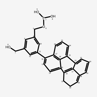 OCc1cc(COP(O)O)cc(-c2ccc3c4c5c(cccc5c5cccc2c35)=CCC4)c1